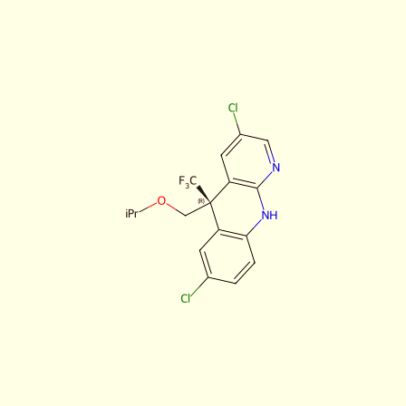 CC(C)OC[C@@]1(C(F)(F)F)c2cc(Cl)ccc2Nc2ncc(Cl)cc21